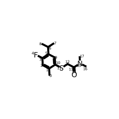 Cc1cc(F)c(C(C)C)cc1SCC(=O)N(C)C